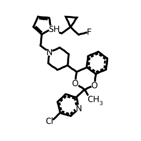 CC1(c2ccc(Cl)cn2)Oc2ccccc2C(C2CCN(CC3=CC=C[SH]3CC3(CF)CC3)CC2)O1